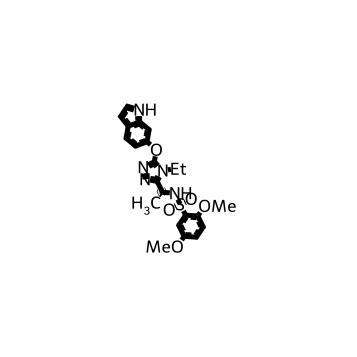 CCn1c(Oc2ccc3cc[nH]c3c2)nnc1[C@@H](C)NS(=O)(=O)c1cc(OC)ccc1OC